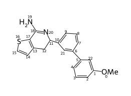 COc1cccc(-c2cccc(C3Cc4ccsc4C(N)=N3)c2)c1